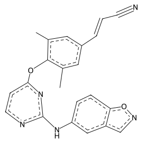 Cc1cc(/C=C/C#N)cc(C)c1Oc1ccnc(Nc2ccc3oncc3c2)n1